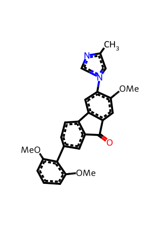 COc1cc2c(cc1-n1cnc(C)c1)-c1ccc(-c3c(OC)cccc3OC)cc1C2=O